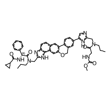 CCCN(Cc1ncc(-c2ccc3c(c2)COc2cc4c(ccc5nc(CN(CCC)C(=O)[C@H](NC(=O)C6CC6)c6ccccc6)[nH]c54)cc2-3)[nH]1)C(=O)CNC(=O)OC